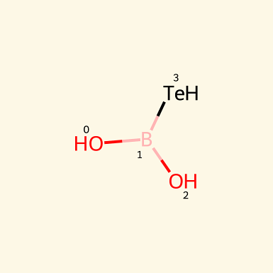 OB(O)[TeH]